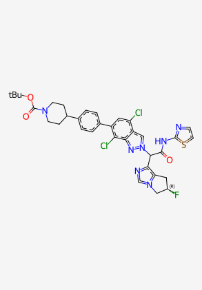 CC(C)(C)OC(=O)N1CCC(c2ccc(-c3cc(Cl)c4cn(C(C(=O)Nc5nccs5)c5ncn6c5C[C@@H](F)C6)nc4c3Cl)cc2)CC1